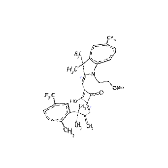 C=C(/C=C1/C(=O)C(/C=C2\N(CCOC)c3ccc(C(F)(F)F)cc3C2(C)C)=C1O)C(C)(C)c1cc(C(F)(F)F)ccc1C